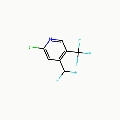 FC(F)c1cc(Cl)ncc1C(F)(F)F